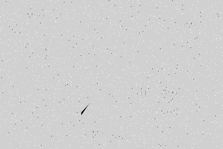 COC(=O)[C@@H]1C(=O)[C@]2(O)c3c(OC)cc(OC)cc3O[C@]2(c2ccc(OC)cc2)[C@H]1c1ccccc1